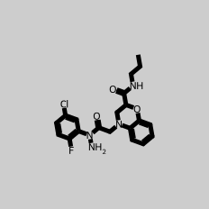 CCCNC(=O)C1CN(CC(=O)N(N)c2cc(Cl)ccc2F)c2ccccc2O1